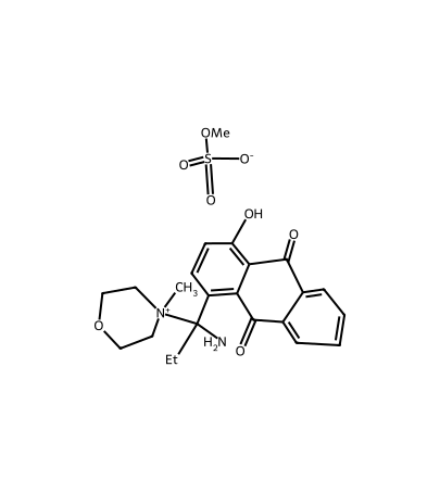 CCC(N)(c1ccc(O)c2c1C(=O)c1ccccc1C2=O)[N+]1(C)CCOCC1.COS(=O)(=O)[O-]